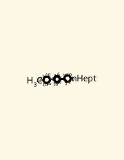 CCCCCCCC1CC=C(c2ccc([C@H]3CC[C@H](C)CC3)cc2)CC1